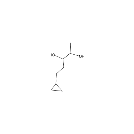 CC(O)C(O)CCC1CC1